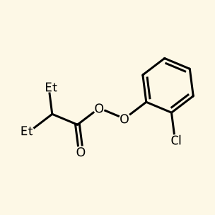 CCC(CC)C(=O)OOc1ccccc1Cl